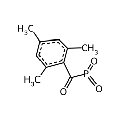 Cc1cc(C)c(C(=O)P(=O)=O)c(C)c1